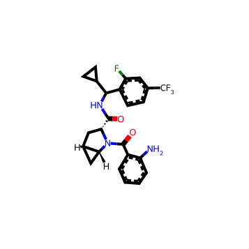 Nc1ccccc1C(=O)N1[C@@H](C(=O)NC(c2ccc(C(F)(F)F)cc2F)C2CC2)C[C@H]2C[C@H]21